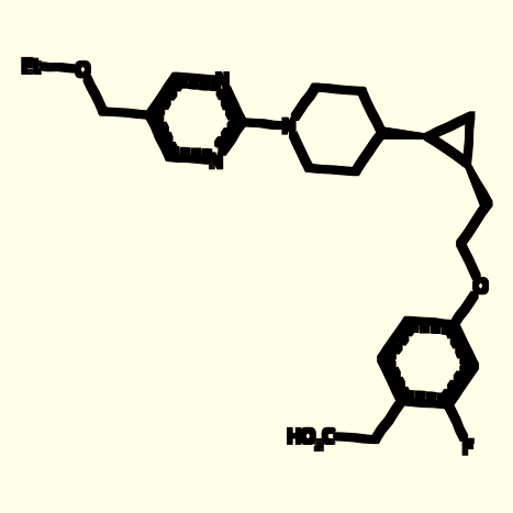 CCOCc1cnc(N2CCC([C@H]3C[C@H]3CCOc3ccc(CC(=O)O)c(F)c3)CC2)nc1